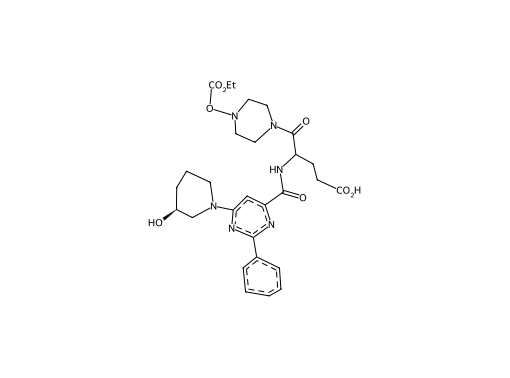 CCOC(=O)ON1CCN(C(=O)C(CCC(=O)O)NC(=O)c2cc(N3CCC[C@H](O)C3)nc(-c3ccccc3)n2)CC1